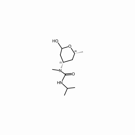 CC(C)NC(=O)N(C)[C@@H]1CC(O)O[C@H](C)C1